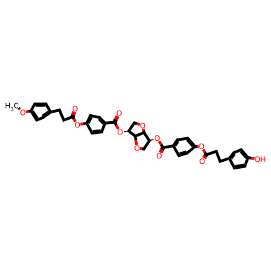 COc1ccc(CCC(=O)Oc2ccc(C(=O)O[C@@H]3COC4C3OC[C@H]4OC(=O)c3ccc(OC(=O)CCc4ccc(O)cc4)cc3)cc2)cc1